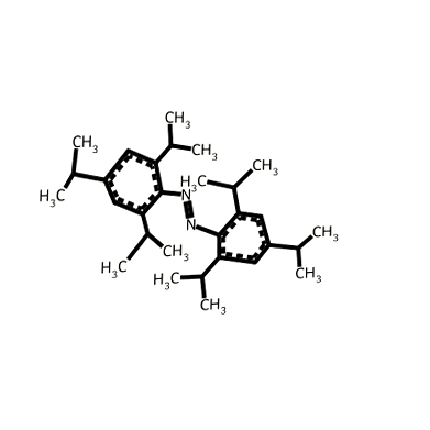 CC(C)c1cc(C(C)C)c(N=Nc2c(C(C)C)cc(C(C)C)cc2C(C)C)c(C(C)C)c1